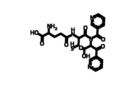 NC(CCC(=O)NC(CS)C(=O)N(C(=O)c1cccnc1)C(C(=O)O)C(=O)c1cccnc1)C(=O)O